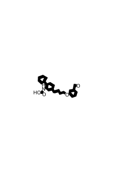 O=Cc1cccc(OCC/C=C/c2ccc(-c3ccccc3)c(NC(=O)O)c2)c1